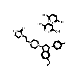 CSc1ccc2c(c1)[C@@H](c1ccc(F)cc1)C[C@@H]2N1CCN(CCN2CCNC2=O)CC1.O=C(O)/C=C\C(=O)O.O=C(O)/C=C\C(=O)O